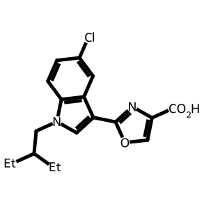 CCC(CC)Cn1cc(-c2nc(C(=O)O)co2)c2cc(Cl)ccc21